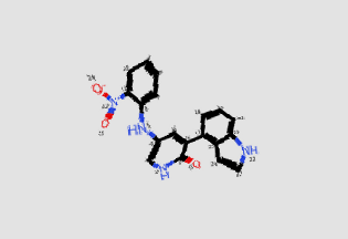 O=c1[nH]cc(Nc2ccccc2[N+](=O)[O-])cc1-c1cccc2[nH]ccc12